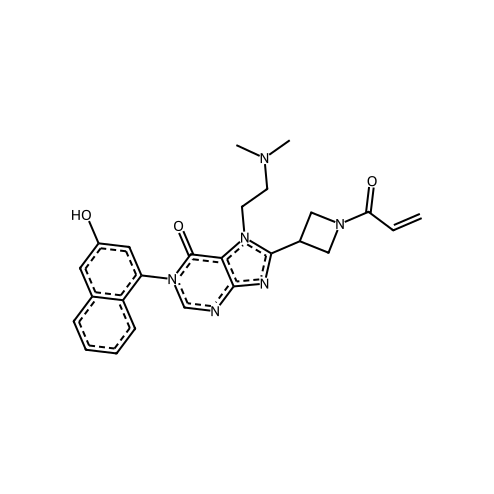 C=CC(=O)N1CC(c2nc3ncn(-c4cc(O)cc5ccccc45)c(=O)c3n2CCN(C)C)C1